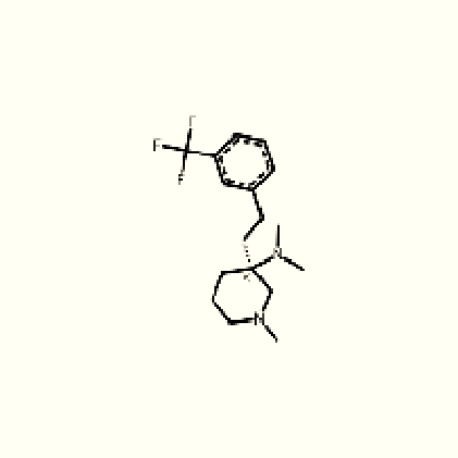 CN1CCC[C@@](CCc2cccc(C(F)(F)F)c2)(N(C)C)C1